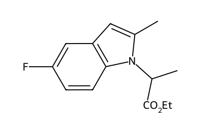 CCOC(=O)C(C)n1c(C)cc2cc(F)ccc21